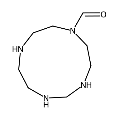 O=CN1CCNCCNCNCC1